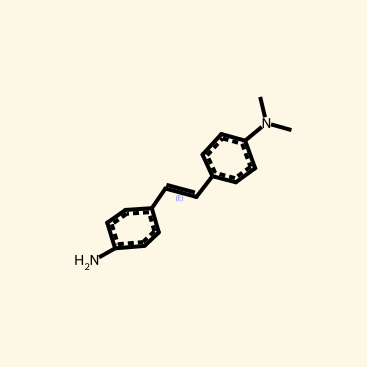 CN(C)c1ccc(/C=C/c2ccc(N)cc2)cc1